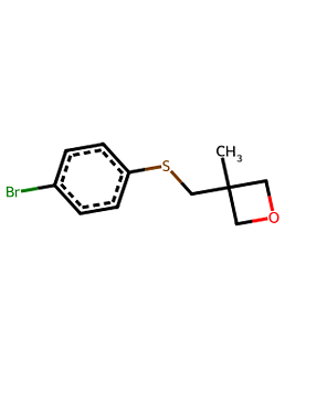 CC1(CSc2ccc(Br)cc2)COC1